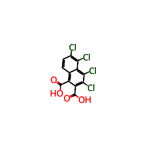 O=C(O)c1c(Cl)c(Cl)c2c(Cl)c(Cl)ccc2c1C(=O)O